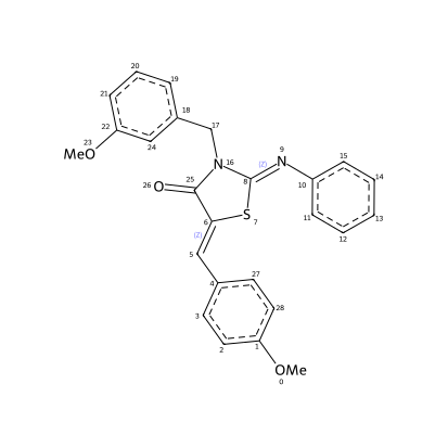 COc1ccc(/C=C2\S/C(=N\c3ccccc3)N(Cc3cccc(OC)c3)C2=O)cc1